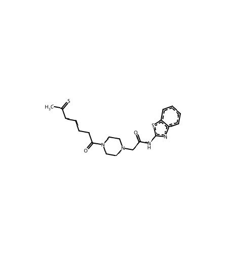 CC(=S)CCCCC(=O)N1CCN(CC(=O)Nc2nc3ccccc3s2)CC1